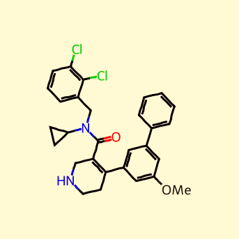 COc1cc(C2=C(C(=O)N(Cc3cccc(Cl)c3Cl)C3CC3)CNCC2)cc(-c2ccccc2)c1